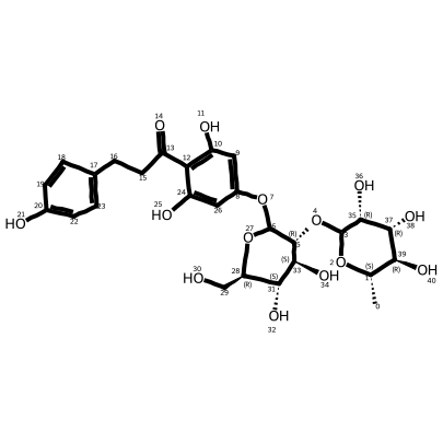 C[C@@H]1OC(O[C@H]2C(Oc3cc(O)c(C(=O)CCc4ccc(O)cc4)c(O)c3)O[C@H](CO)[C@@H](O)[C@@H]2O)[C@H](O)[C@H](O)[C@H]1O